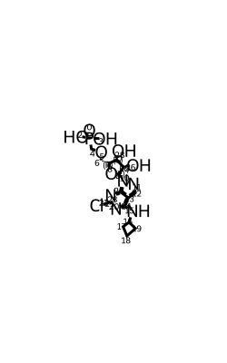 O=P(O)(O)COC[C@H]1O[C@@H](n2ncc3c(NC4CCC4)nc(Cl)nc32)[C@H](O)[C@@H]1O